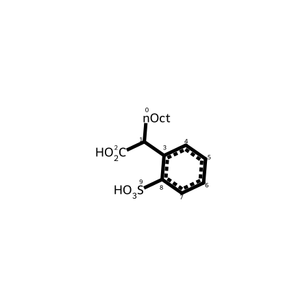 CCCCCCCCC(C(=O)O)c1ccccc1S(=O)(=O)O